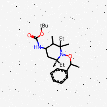 CCC1(C)CC(NC(=O)OC(C)(C)C)C(C)C(C)(CC)N1OC(C)c1ccccc1